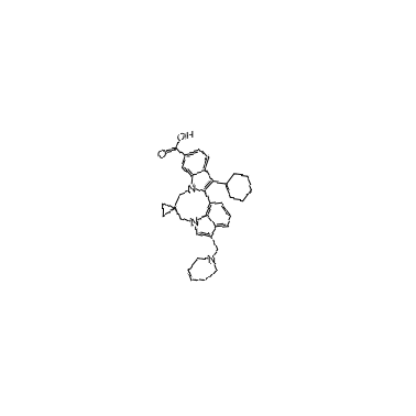 O=C(O)c1ccc2c(C3CCCCC3)c3n(c2c1)CC1(CC1)Cn1cc(CN2CCCCC2)c2cccc-3c21